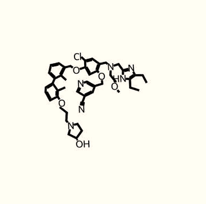 CCc1nc(CN(CCOC)Cc2cc(Cl)c(OCc3cccc(-c4cccc(OCCCN5CC[C@@H](O)C5)c4C)c3C)cc2OCc2cncc(C#N)c2)[nH]c1CC